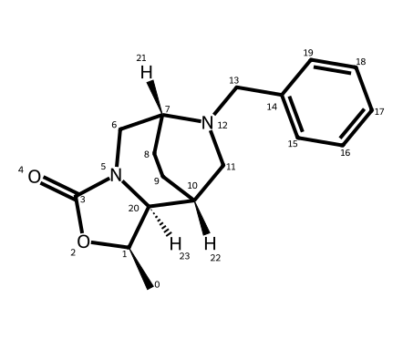 C[C@H]1OC(=O)N2C[C@H]3CC[C@H](CN3Cc3ccccc3)[C@@H]12